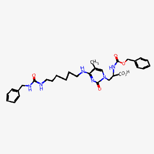 Cc1cn(CC(NC(=O)OCc2ccccc2)C(=O)O)c(=O)nc1NCCCCCCNC(=O)NCc1ccccc1